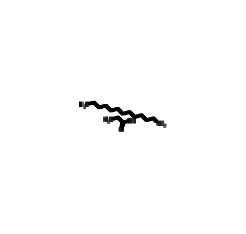 CCC(=O)O.CCCCCCCCCCCCN